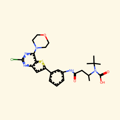 CC(CC(=O)Nc1cccc(-c2cc3nc(Cl)nc(N4CCOCC4)c3s2)c1)N(C(=O)O)C(C)(C)C